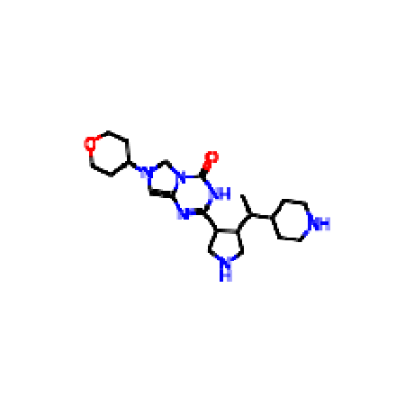 CC(C1CCNCC1)C1CNCC1C1=NC2=CN(C3CCOCC3)CN2C(=O)N1